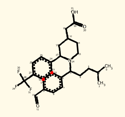 CC(C)CCC(c1ccc(C=O)cc1)N1CCC(CC(=O)O)CC1c1ccc(C(F)(F)F)cc1